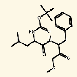 CSCC(=O)C(Cc1ccccc1)NC(=O)C(CC(C)C)NC(=O)OC(C)(C)C